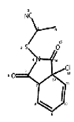 CC(C#N)SN1C(=O)C2C=CC=CC2(Cl)C1=O